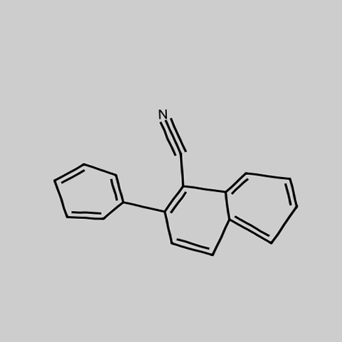 N#Cc1c(-c2ccccc2)ccc2ccccc12